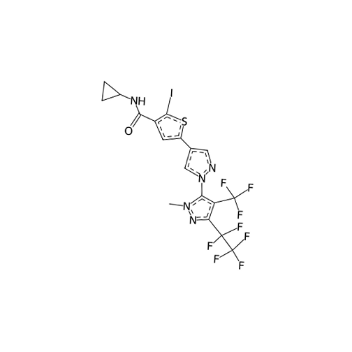 Cn1nc(C(F)(F)C(F)(F)F)c(C(F)(F)F)c1-n1cc(-c2cc(C(=O)NC3CC3)c(I)s2)cn1